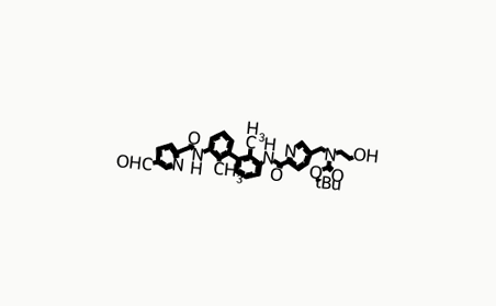 Cc1c(NC(=O)c2ccc(C=O)cn2)cccc1-c1cccc(NC(=O)c2ccc(CN(CCO)C(=O)OC(C)(C)C)cn2)c1C